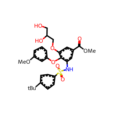 COC(=O)c1cc(NS(=O)(=O)c2ccc(C(C)(C)C)cc2)c(Oc2cccc(OC)c2)c(OCC(O)CO)c1